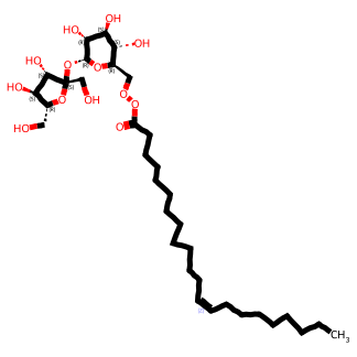 CCCCCCCC/C=C\CCCCCCCCCCCC(=O)OOC[C@H]1O[C@H](O[C@]2(CO)O[C@H](CO)[C@@H](O)[C@@H]2O)[C@H](O)[C@@H](O)[C@@H]1O